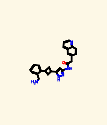 NCc1ccccc1C1CC(c2cc(NC(=O)Cc3ccc4ncccc4c3)n[nH]2)C1